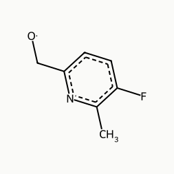 Cc1nc(C[O])ccc1F